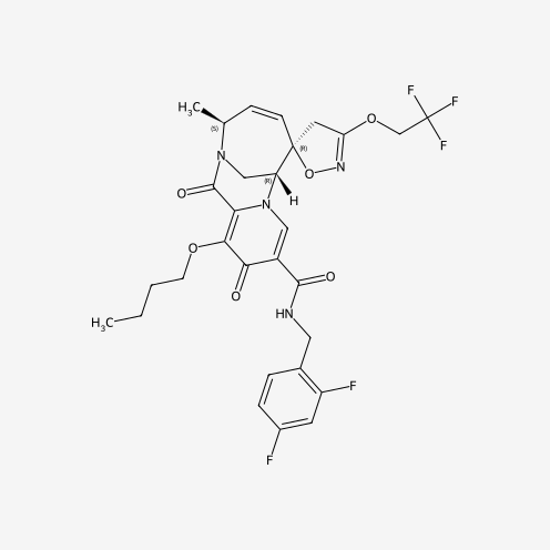 CCCCOc1c2n(cc(C(=O)NCc3ccc(F)cc3F)c1=O)[C@@H]1CN(C2=O)[C@@H](C)C=C[C@]12CC(OCC(F)(F)F)=NO2